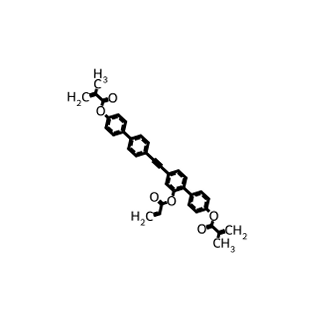 C=CC(=O)Oc1cc(C#Cc2ccc(-c3ccc(OC(=O)C(=C)C)cc3)cc2)ccc1-c1ccc(OC(=O)C(=C)C)cc1